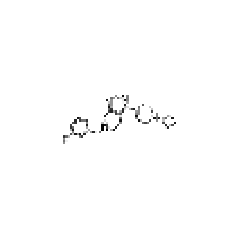 Fc1cccc(CN2CCc3c(ncnc3N3CCN(C4CCC4)CC3)C2)c1